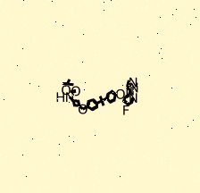 CC(C)(C)OC(=O)NC1CC(Oc2ccc(C(C)(C)c3ccc(Oc4cc(F)cnc4-n4ccnn4)cc3)cc2)C1